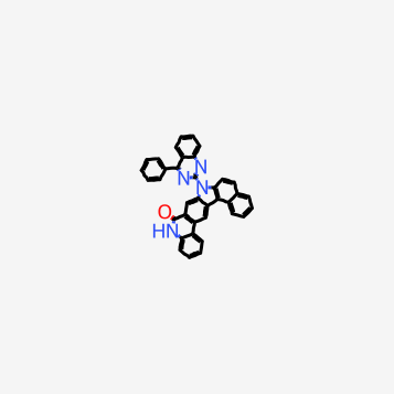 O=c1[nH]c2ccccc2c2cc3c4c5ccccc5ccc4n(-c4nc(-c5ccccc5)c5ccccc5n4)c3cc12